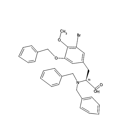 COc1c(Br)cc(C[C@@H](C(=O)O)N(Cc2ccccc2)Cc2ccccc2)cc1OCc1ccccc1